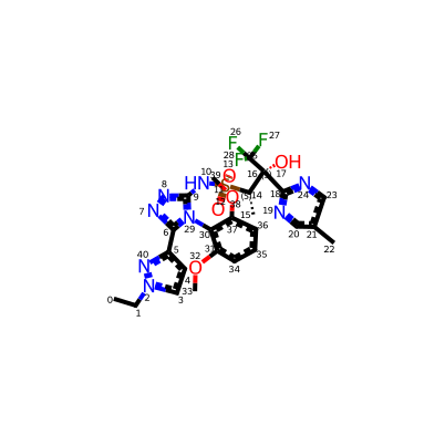 CCn1ccc(-c2nnc(NS(=O)(=O)[C@@H](C)[C@](O)(c3ncc(C)cn3)C(F)(F)F)n2-c2c(OC)cccc2OC)n1